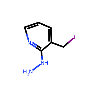 NNc1ncccc1CI